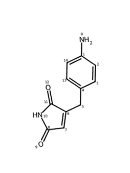 Nc1ccc(CC2=CC(=O)NC2=O)cc1